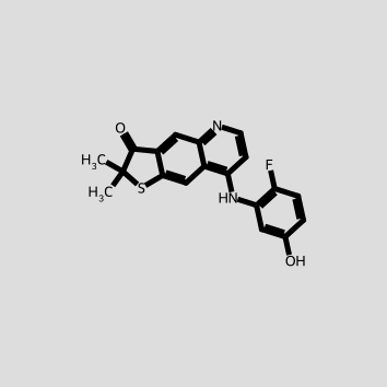 CC1(C)Sc2cc3c(Nc4cc(O)ccc4F)ccnc3cc2C1=O